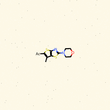 CC(=O)c1sc2nc(N3CCOCC3)sc2c1C